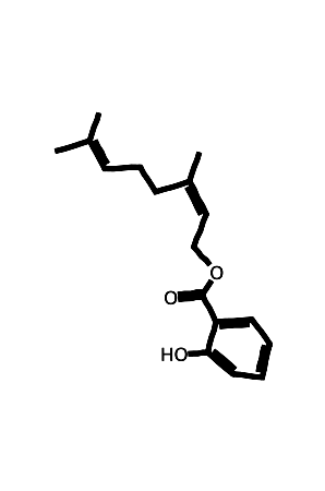 CC(C)=CCC/C(C)=C\COC(=O)c1ccccc1O